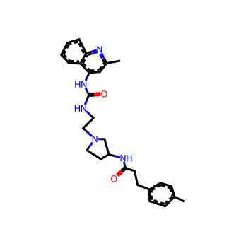 Cc1ccc(CCC(=O)NC2CCN(CCNC(=O)Nc3cc(C)nc4ccccc34)C2)cc1